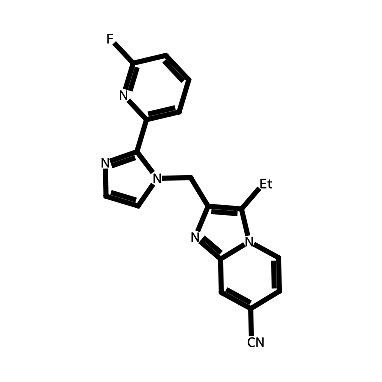 CCc1c(Cn2ccnc2-c2cccc(F)n2)nc2cc(C#N)ccn12